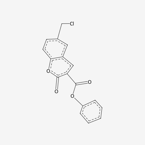 O=C(Oc1ccccc1)c1cc2cc(CCl)ccc2oc1=O